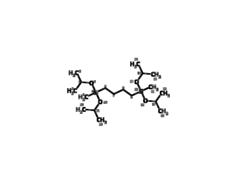 CC(C)O[Si](C)(CCCC[Si](C)(OC(C)C)OC(C)C)OC(C)C